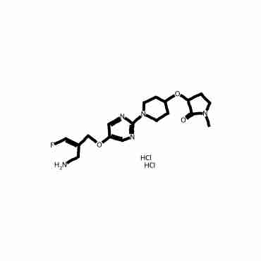 CN1CCC(OC2CCN(c3ncc(OC/C(=C/F)CN)cn3)CC2)C1=O.Cl.Cl